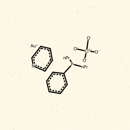 CCCP(CCC)c1ccccc1.[Au+].[O-][Cl+3]([O-])([O-])[O-].c1ccncc1